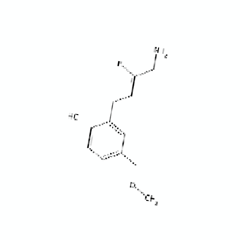 COCc1cccc(CC=C(F)CN)c1.Cl